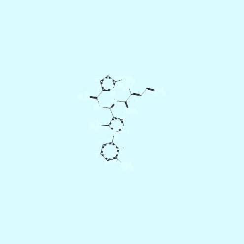 C=C/C=C(\C)C(=C)/N=C(/NC(=C)c1ccc(N)s1)c1cnn(-c2cccc(C)c2)c1C